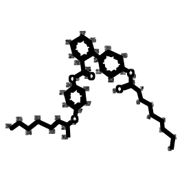 CCCCCCCCC(=O)Oc1ccc(-c2ccccc2C(=O)Oc2ccc(OC(C)CCCCCC)cc2)cc1